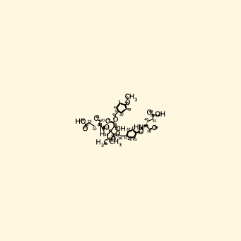 COc1ccc(COC(=O)C(O)C(CC(C)C)(ON[C@@H](C=O)CCC(=O)O)C(=O)OCc2ccc(ON[C@@H](C=O)CCC(=O)O)cc2)cc1